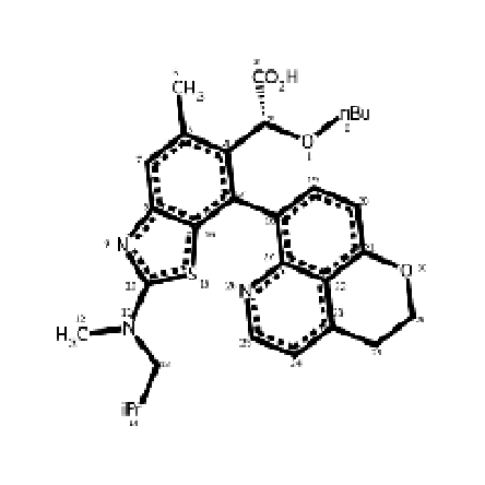 CCCCO[C@@H](C(=O)O)c1c(C)cc2nc(N(C)CC(C)C)sc2c1-c1ccc2c3c(ccnc13)CCO2